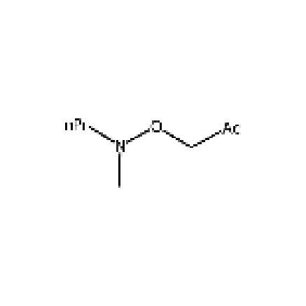 CCCN(C)OCC(C)=O